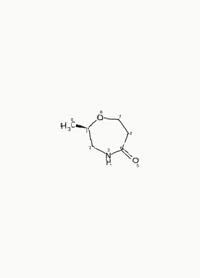 C[C@@H]1CNC(=O)CCO1